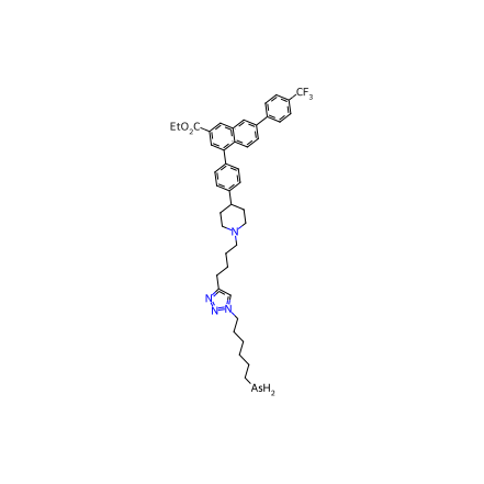 CCOC(=O)c1cc(-c2ccc(C3CCN(CCCCc4cn(CCCCCC[AsH2])nn4)CC3)cc2)c2ccc(-c3ccc(C(F)(F)F)cc3)cc2c1